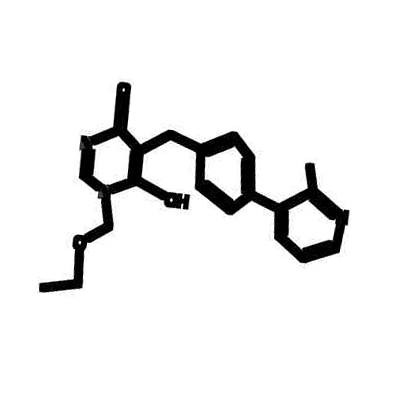 CCOCn1cnc(=O)c(Cc2ccc(-c3cccnc3C)cc2)c1O